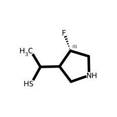 CC(S)C1CNC[C@H]1F